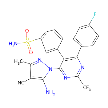 Cc1nn(-c2nc(C(F)(F)F)nc(-c3ccc(F)cc3)c2-c2cccc(S(N)(=O)=O)c2)c(N)c1C#N